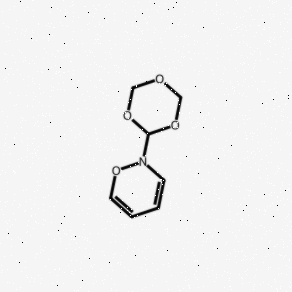 C1=CON(C2OCOCO2)C=C1